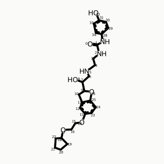 O=C(NCCNCC(O)C1Cc2cc(OCCOC3CCCC3)ccc2O1)Nc1ccc(O)cc1